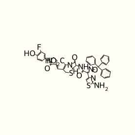 Nc1nc(C(=NOC(c2ccccc2)(c2ccccc2)c2ccccc2)C(=O)N[C@@H]2C(=O)N3C(C(=O)O)=C(C=C4CCN(c5ccc(O)c(F)c5)C4=O)CS[C@H]23)cs1